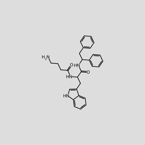 NCCCC(=O)NC(Cc1c[nH]c2ccccc12)C(=O)NC(Cc1ccccc1)c1ccccc1